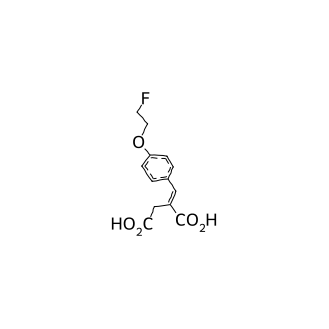 O=C(O)C/C(=C\c1ccc(OCCF)cc1)C(=O)O